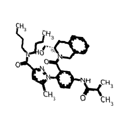 CCCCN(CCCC)C(=O)c1cc(C)n(-c2ccc(NC(=O)C(C)C)cc2C(=O)N2Cc3ccccc3C[C@H]2CO)n1